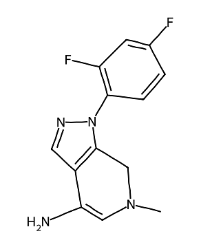 CN1C=C(N)c2cnn(-c3ccc(F)cc3F)c2C1